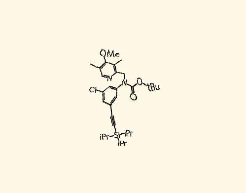 COc1c(C)cnc(CN(C(=O)OC(C)(C)C)c2cc(Cl)cc(C#C[Si](C(C)C)(C(C)C)C(C)C)c2)c1C